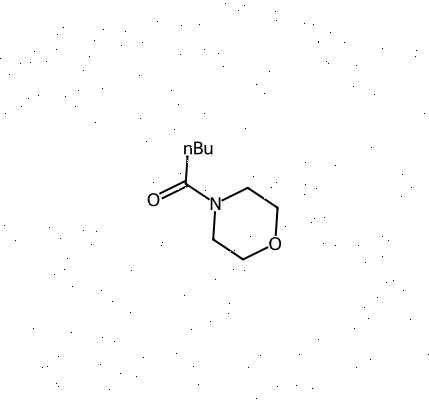 [CH2]CCCC(=O)N1CCOCC1